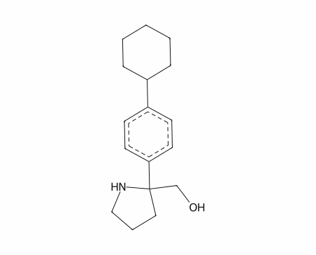 OCC1(c2ccc(C3CCCCC3)cc2)CCCN1